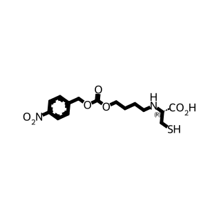 O=C(OCCCCN[C@@H](CS)C(=O)O)OCc1ccc([N+](=O)[O-])cc1